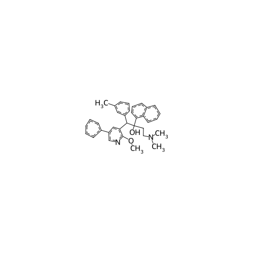 COc1ncc(-c2ccccc2)cc1C(c1cccc(C)c1)C(O)(CCN(C)C)c1cccc2ccccc12